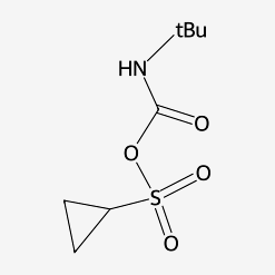 CC(C)(C)NC(=O)OS(=O)(=O)C1CC1